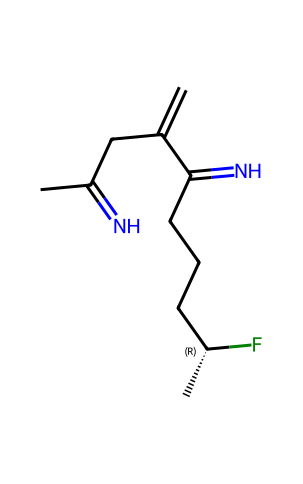 C=C(CC(C)=N)C(=N)CCC[C@@H](C)F